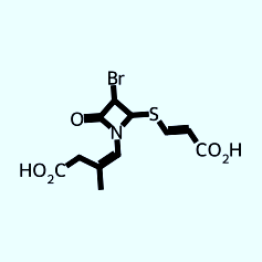 CC(=CN1C(=O)C(Br)C1SC=CC(=O)O)CC(=O)O